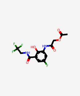 CC(=O)OCC(=O)Nc1cc(F)cc(C(=O)NCC(F)(F)F)c1O